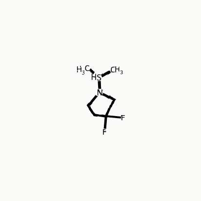 C[SH](C)N1CCC(F)(F)C1